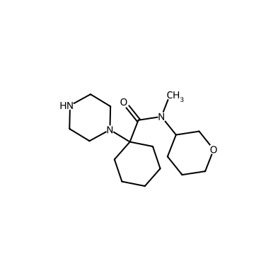 CN(C(=O)C1(N2CCNCC2)CCCCC1)C1CCCOC1